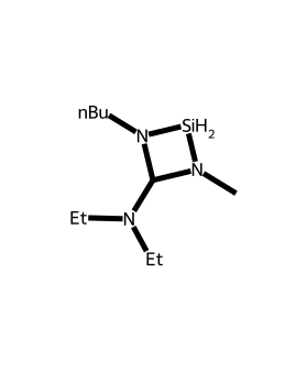 CCCCN1[SiH2]N(C)C1N(CC)CC